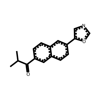 CC(C)C(=O)c1ccc2cc(-c3cnco3)ccc2c1